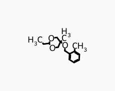 CCC1OCC(C)(OCc2ccccc2C)CO1